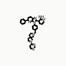 Nc1ncccc1-c1nc2ccc(-c3ccccc3)nc2n1-c1ccc(CN2CCC3(CCN(c4ccncn4)C3)C2)cc1